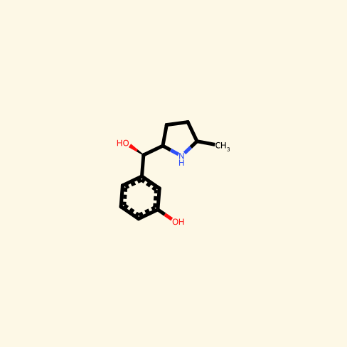 CC1CCC([C@H](O)c2cccc(O)c2)N1